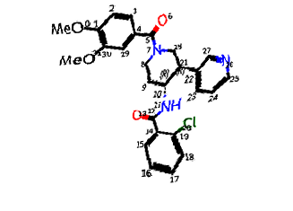 COc1ccc(C(=O)N2CC[C@@H](NC(=O)c3ccccc3Cl)[C@H](c3cccnc3)C2)cc1OC